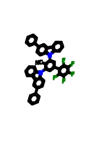 N#Cc1c(-n2c3ccccc3c3cc(-c4ccccc4)ccc32)cc(-c2c(F)c(F)c(F)c(F)c2F)cc1-n1c2ccccc2c2cc(-c3ccccc3)ccc21